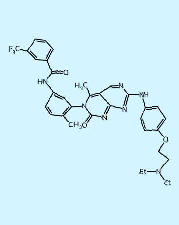 CCN(CC)CCOc1ccc(Nc2ncc3c(C)n(-c4cc(NC(=O)c5cccc(C(F)(F)F)c5)ccc4C)c(=O)nc3n2)cc1